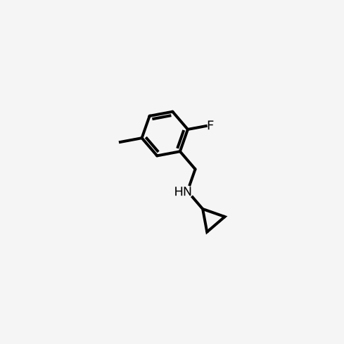 Cc1ccc(F)c(CNC2CC2)c1